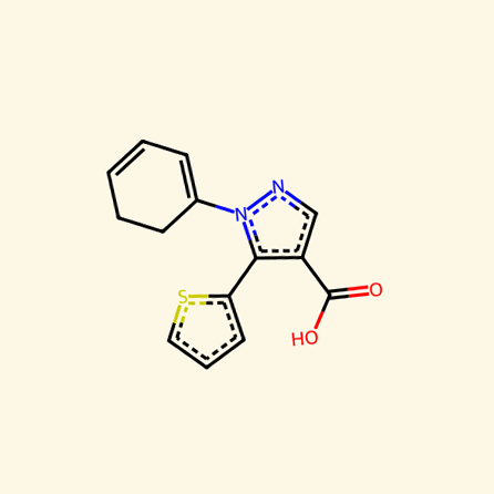 O=C(O)c1cnn(C2=CC=CCC2)c1-c1cccs1